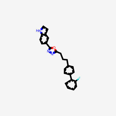 Fc1ccccc1-c1ccc(CCCc2nnc(-c3ccc4[nH]ccc4c3)o2)cc1